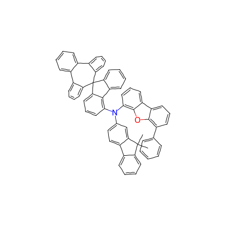 CC1(C)c2ccccc2-c2ccc(N(c3cccc4c3-c3ccccc3C43c4ccccc4-c4ccccc4-c4ccccc43)c3cccc4c3oc3c(-c5ccccc5)cccc34)cc21